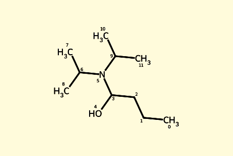 CCCC(O)N(C(C)C)C(C)C